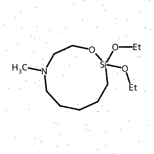 CCO[Si]1(OCC)CCCCCN(C)CCO1